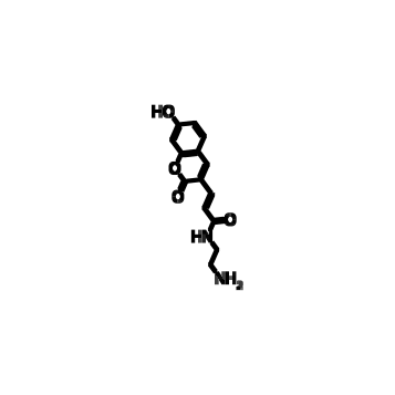 NCCNC(=O)C=Cc1cc2ccc(O)cc2oc1=O